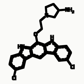 NC1CCN(CCOc2c3[nH]c4ccc(Cl)cc4c3cc3c2[nH]c2ccc(Cl)cc23)C1